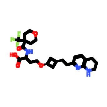 O=C(O)C(CCO[C@H]1C[C@H](CCc2ccc3c(n2)NCCC3)C1)NC(=O)C1(C(F)(F)F)CCOCC1